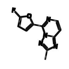 Cc1nc2ccnc(-c3ccc(F)o3)n2n1